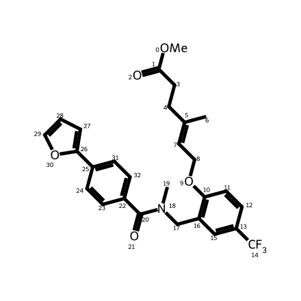 COC(=O)CC/C(C)=C/COc1ccc(C(F)(F)F)cc1CN(C)C(=O)c1ccc(-c2ccco2)cc1